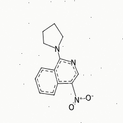 O=[N+]([O-])c1cnc(N2CCCC2)c2ccccc12